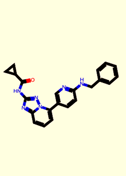 O=C(Nc1nc2cccc(-c3ccc(NCc4ccccc4)nc3)n2n1)C1CC1